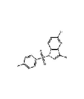 Cc1ccc(S(=O)(=O)n2cc(I)c3nc(Br)ccc32)cc1